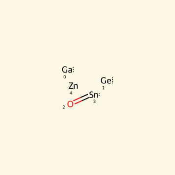 [Ga].[Ge].[O]=[Sn].[Zn]